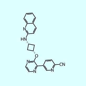 N#Cc1ccc(-c2nccnc2O[C@H]2C[C@@H](Nc3ccc4ccccc4n3)C2)cn1